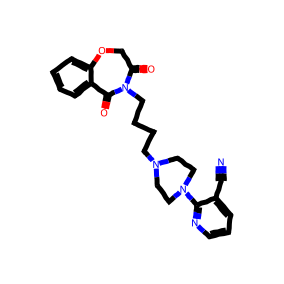 N#Cc1cccnc1N1CCN(CCCCN2C(=O)COc3ccccc3C2=O)CC1